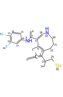 C=C=C(/C1=C(C)/C(C(=C)Nc2ccc(F)c(F)c2)=C\NCCC1)C(C)CS